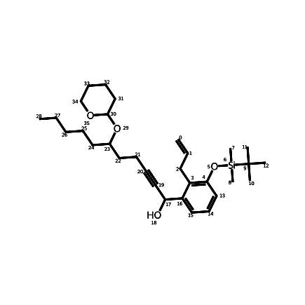 C=CCc1c(O[Si](C)(C)C(C)(C)C)cccc1C(O)C#CCCC(CCCCC)OC1CCCCO1